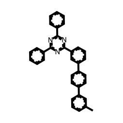 Cc1cccc(-c2ccc(-c3cccc(-c4nc(-c5ccccc5)nc(-c5ccccc5)n4)c3)cc2)c1